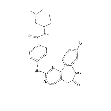 CCC(CC(C)C)NC(=O)c1ccc(Nc2ncc3c(n2)-c2ccc(Cl)cc2NC(=O)C3)cc1